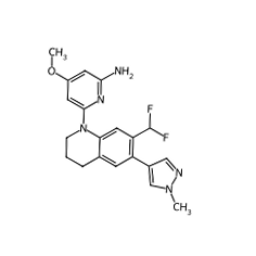 COc1cc(N)nc(N2CCCc3cc(-c4cnn(C)c4)c(C(F)F)cc32)c1